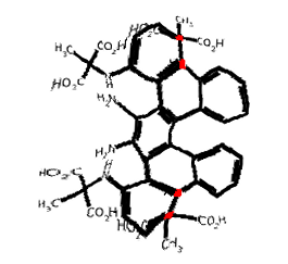 CC(Nc1ccccc1-c1c(N)c(N)c(-c2ccccc2NC(C)(C(=O)O)C(=O)O)c(-c2ccccc2NC(C)(C(=O)O)C(=O)O)c1-c1ccccc1NC(C)(C(=O)O)C(=O)O)(C(=O)O)C(=O)O